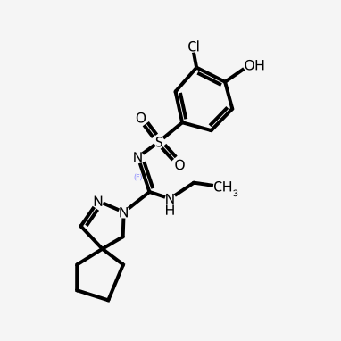 CCN/C(=N\S(=O)(=O)c1ccc(O)c(Cl)c1)N1CC2(C=N1)CCCC2